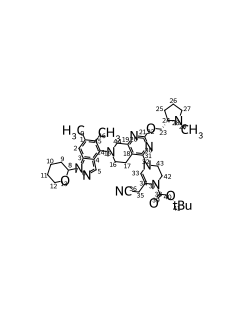 Cc1cc2c(cnn2C2CCCCO2)c(N2CCc3c(nc(OC[C@@H]4CCCN4C)nc3N3C=C(CC#N)N(C(=O)OC(C)(C)C)CC3)C2)c1C